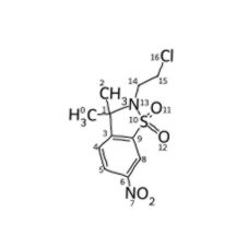 CC1(C)c2ccc([N+](=O)[O-])cc2S(=O)(=O)N1CCCl